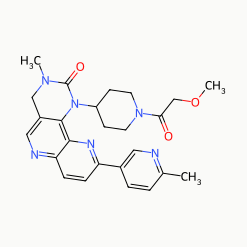 COCC(=O)N1CCC(N2C(=O)N(C)Cc3cnc4ccc(-c5ccc(C)nc5)nc4c32)CC1